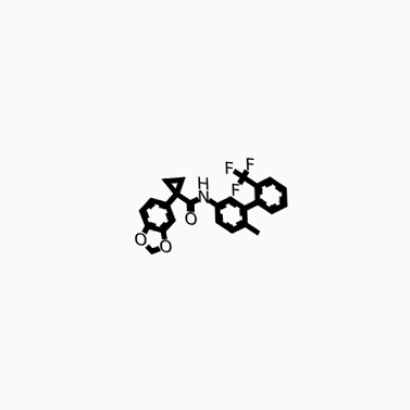 Cc1ccc(NC(=O)C2(c3ccc4c(c3)OCO4)CC2)cc1-c1ccccc1C(F)(F)F